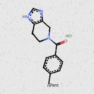 CCCCCc1ccc(C(=O)N2CCc3[nH]cnc3C2)cc1.Cl